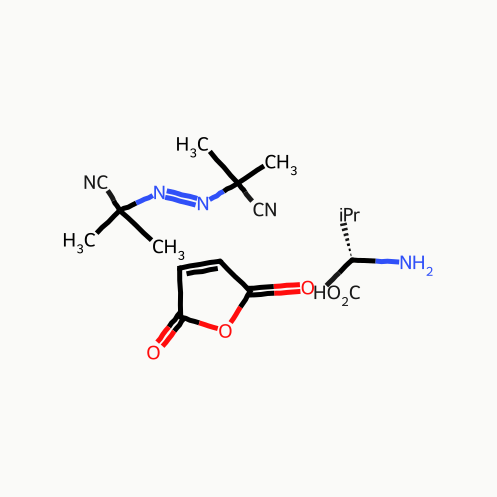 CC(C)(C#N)/N=N/C(C)(C)C#N.CC(C)[C@H](N)C(=O)O.O=C1C=CC(=O)O1